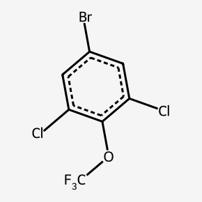 FC(F)(F)Oc1c(Cl)cc(Br)cc1Cl